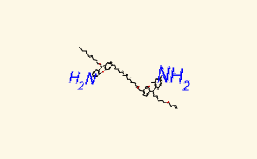 CCCCCCCCCC(c1ccc(CCCCCCCCCCCCCCc2ccc(C(CCCCCCCCC)c3ccc(N)cc3C)cc2)cc1)c1ccc(N)cc1C